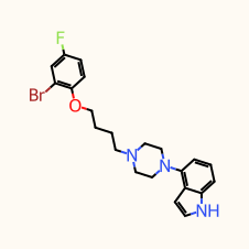 Fc1ccc(OCCCCN2CCN(c3cccc4[nH]ccc34)CC2)c(Br)c1